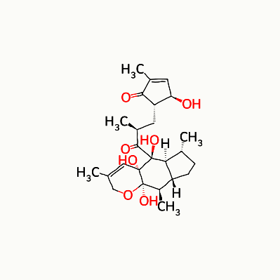 CC1=C[C@]2(O)[C@](O)(OC1)[C@H](C)[C@H]1CC[C@@H](C)[C@@H]1[C@@]2(O)C(=O)[C@@H](C)C[C@@H]1C(=O)C(C)=C[C@H]1O